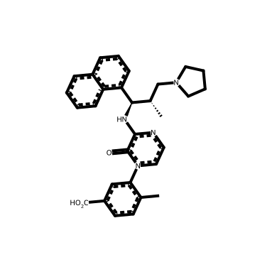 Cc1ccc(C(=O)O)cc1-n1ccnc(N[C@@H](c2cccc3ccccc23)[C@@H](C)CN2CCCC2)c1=O